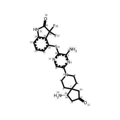 Nc1nc(N2CCC3(CC2)CC(=O)C[C@@H]3N)cnc1Sc1cccc2c1C(F)(F)C(=O)N2